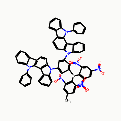 Cc1cc([N+](=O)[O-])c(B(c2cc(-n3c4ccccc4c4c3ccc3c5ccccc5n(-c5ccccc5)c34)cc(-n3c4ccccc4c4c3ccc3c5ccccc5n(-c5ccccc5)c34)c2)c2c([N+](=O)[O-])cc([N+](=O)[O-])cc2[N+](=O)[O-])c([N+](=O)[O-])c1